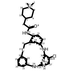 C[N+]1(C)CCC(CC(=O)Nc2ccc3cc2CCc2cccc(c2)Nc2ncc(Cl)c(n2)N3)CC1